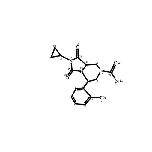 N#Cc1ccccc1C1CN(C(N)=O)CC2C(=O)N(C3CC3)C(=O)N21